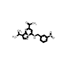 CC(=O)c1cc(NCc2cccc([N+](=O)[O-])c2)n2ncc(C(C)C)c2n1